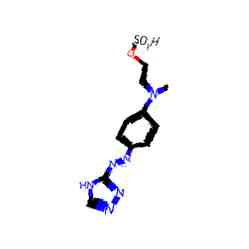 CN(CCOS(=O)(=O)O)c1ccc(/N=N/c2nnc[nH]2)cc1